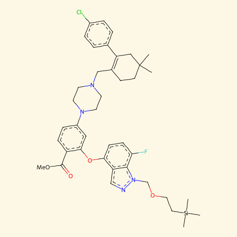 COC(=O)c1ccc(N2CCN(CC3=C(c4ccc(Cl)cc4)CC(C)(C)CC3)CC2)cc1Oc1ccc(F)c2c1cnn2COCC[Si](C)(C)C